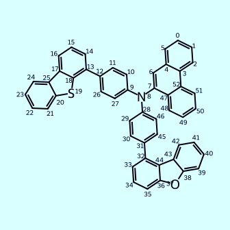 c1ccc2c(c1)cc(N(c1ccc(-c3cccc4c3sc3ccccc34)cc1)c1ccc(-c3cccc4oc5ccccc5c34)cc1)c1ccccc12